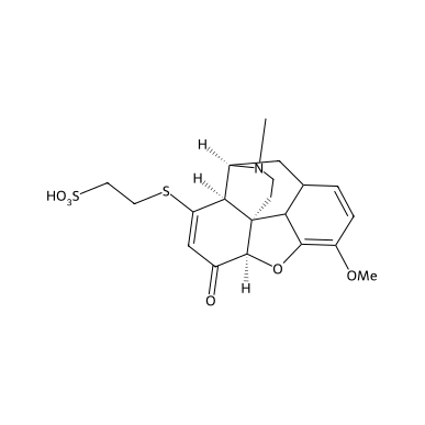 COC1=C2O[C@H]3C(=O)C=C(SCCS(=O)(=O)O)[C@H]4[C@H]5CC(C=C1)C2[C@@]34CCN5C